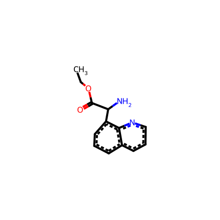 CCOC(=O)C(N)c1cccc2cccnc12